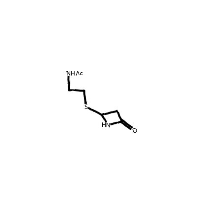 CC(=O)NCCSC1CC(=O)N1